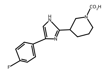 O=C(O)N1CCCC(c2nc(-c3ccc(F)cc3)c[nH]2)C1